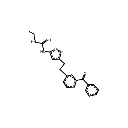 CCNC(=N)Nc1cc(CCc2cccc(C(=O)c3ccccc3)c2)no1